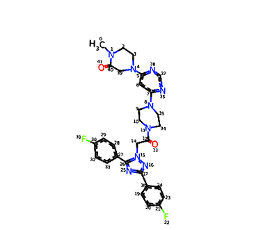 CN1CCN(c2cc(N3CCN(C(=O)Cn4nc(-c5ccc(F)cc5)nc4-c4ccc(F)cc4)CC3)ncn2)CC1=O